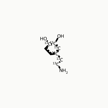 N[13CH2][13CH2][13c]1cc[13c](O)[13c](O)[13cH]1